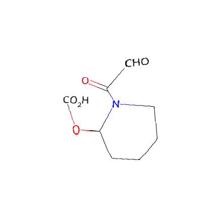 O=CC(=O)N1CCCCC1OC(=O)O